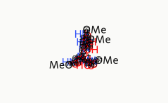 CCC(=O)C(CCCN(CCCNCc1ccc(C(=O)NCCOC)c(=O)n1O)Cc1ccc(C(=O)NCCOC)c(=O)n1O)N(CCCNCc1ccc(C(=O)NCCOC)c(=O)n1O)Cc1ccc(C(=O)NCCOC)c(=O)n1O